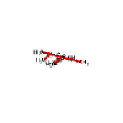 CCCCCCCCCCO/N=C(\C)CCCCCC(=O)OCC(COC(=O)CCCCCCC(=O)OC(CCCCCCCC)CCCCCCCC)COC(=O)OCCCN(CC)CC